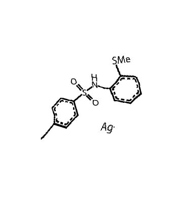 CSc1ccccc1NS(=O)(=O)c1ccc(C)cc1.[Ag]